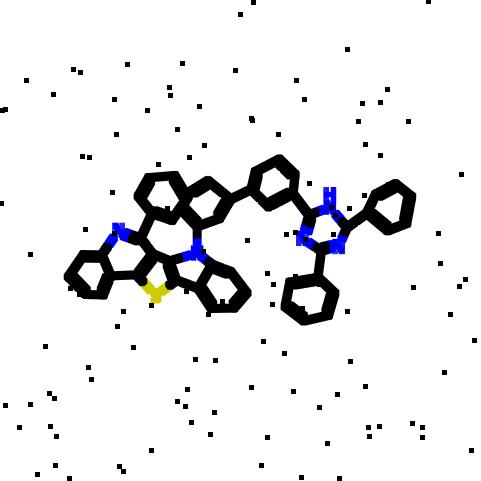 c1ccc(C2=NC(c3ccccc3)NC(c3cccc(-c4cccc(-n5c6ccccc6c6sc7c8ccccc8nc(-c8ccccc8)c7c65)c4)c3)=N2)cc1